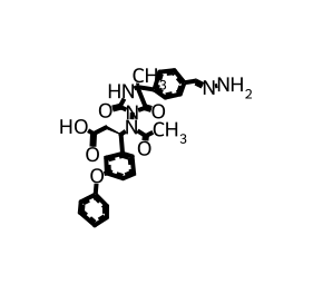 CC(=O)N([C@H](CC(=O)O)c1cccc(Oc2ccccc2)c1)N1C(=O)N[C@](C)(c2ccc(C=NN)cc2)C1=O